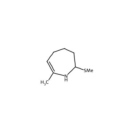 CSC1CCCC=C(C)N1